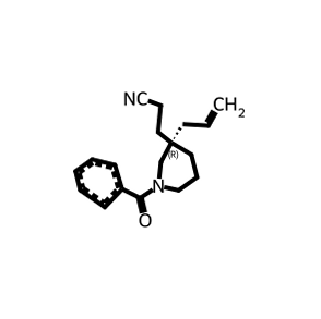 C=CC[C@]1(CCC#N)CCCN(C(=O)c2ccccc2)C1